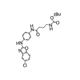 CC(C)(C)OC(=O)NCCCC(=O)Nc1ccc(Nc2nc3cc(Cl)ccc3o2)cc1